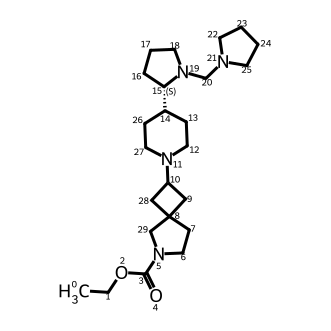 CCOC(=O)N1CCC2(CC(N3CCC([C@@H]4CCCN4CN4CCCC4)CC3)C2)C1